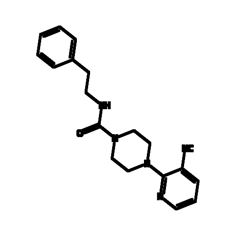 [C-]#[N+]c1cccnc1N1CCN(C(=O)NCCc2ccccc2)CC1